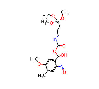 COc1cc(C(O)OC(=O)NCCC[Si](OC)(OC)OC)c(N=O)cc1C